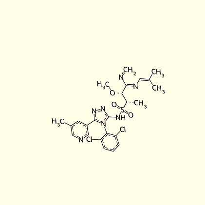 C=N/C(=N\C=C(C)C)[C@@H](OC)[C@H](C)S(=O)(=O)Nc1nnc(-c2cncc(C)c2)n1-c1c(Cl)cccc1Cl